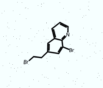 BrCCc1cc(Br)c2ncccc2c1